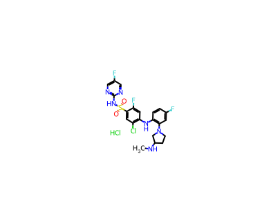 CNC1CCN(c2cc(F)ccc2Nc2cc(F)c(S(=O)(=O)Nc3ncc(F)cn3)cc2Cl)C1.Cl